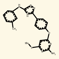 Cc1cccc(Nc2nnc(-c3ccc(Oc4cc(SC(C)(C)C)nc(N)n4)cc3)[nH]2)c1